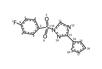 O=S(=O)(c1ccc(F)cc1)n1cnc(-c2cccs2)n1